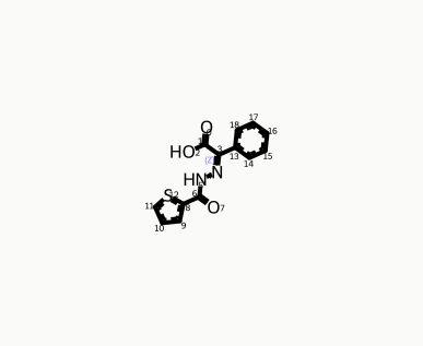 O=C(O)/C(=N\NC(=O)c1cccs1)c1ccccc1